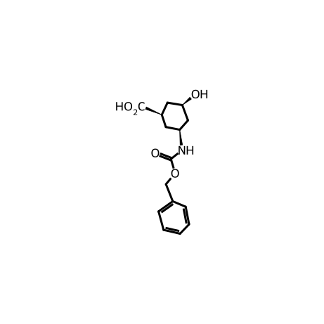 O=C(N[C@@H]1C[C@H](O)C[C@H](C(=O)O)C1)OCc1ccccc1